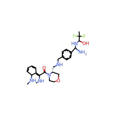 CN/C(C(=O)N1CCOC[C@H]1CNCc1ccc(C(N)NC(O)C(C)(F)F)cc1)=C1/C=CC=CC1NC